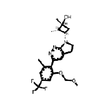 COCOc1cc(C(F)(F)F)cc(C)c1-c1cc2c(nn1)N([C@H]1C[C@@](C)(O)[C@H]1C)CC2